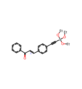 CCO[Si](C#Cc1ccc(/C=C/C(=O)c2ccccc2)cc1)(OCC)OCC